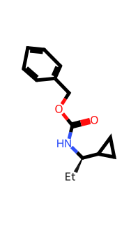 CC[C@@H](NC(=O)OCc1ccccc1)C1CC1